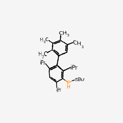 Cc1cc(-c2c(C(C)C)cc(C(C)C)c(PC(C)(C)C)c2C(C)C)c(C)c(C)c1C